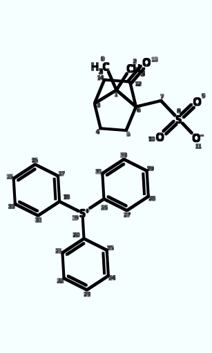 CC1(C)C2CCC1(CS(=O)(=O)[O-])C(=O)C2.c1ccc([S+](c2ccccc2)c2ccccc2)cc1